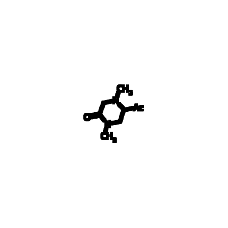 CC(=O)C1CN(C)C(=O)CN1C